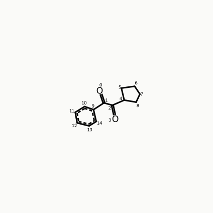 O=C(C(=O)C1CCCC1)c1ccccc1